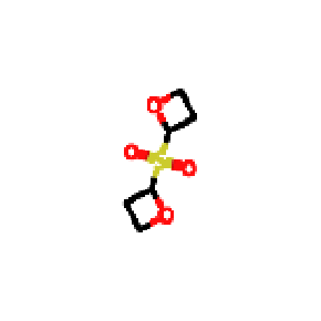 O=S(=O)(C1CCO1)C1CCO1